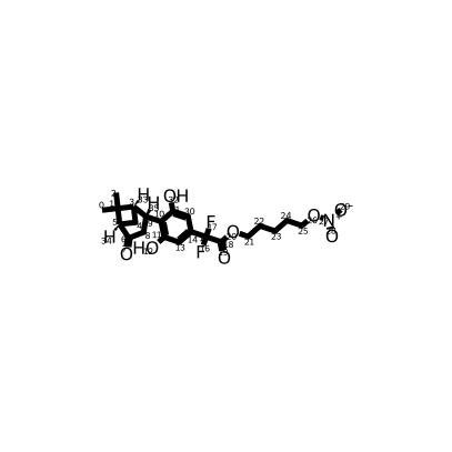 CC1(C)[C@@H]2C[C@H]1C(=O)C[C@H]2c1c(O)cc(C(F)(F)C(=O)OCCCCCO[N+](=O)[O-])cc1O